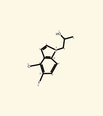 CC(O)Cn1ccc2c(Cl)c(F)ccc21